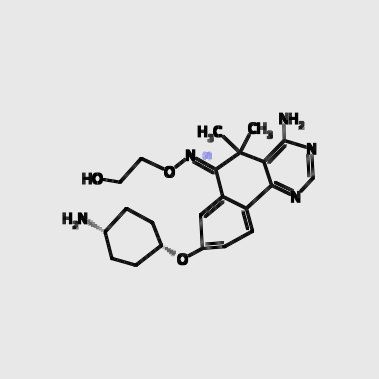 CC1(C)/C(=N/OCCO)c2cc(O[C@H]3CC[C@@H](N)CC3)ccc2-c2ncnc(N)c21